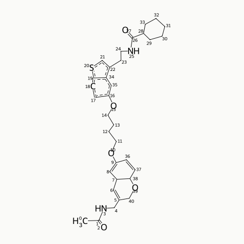 CC(=O)NCC1=CC2C=C(OCCCCOc3ccc4scc(CCNC(=O)C5CCCCC5)c4c3)C=CC2OC1